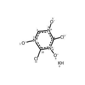 [KH].[O-][n+]1c[n+]([O-])c(Cl)[n+]([O-])c1Cl